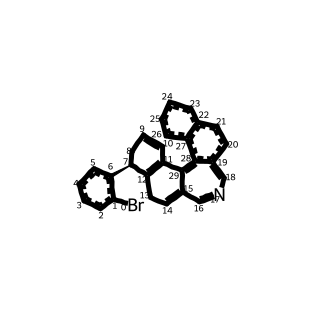 Brc1ccccc1[C@H]1CC=CC2=C1CC=C1C=NC=c3ccc4ccccc4c3=C12